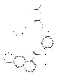 CCc1ccc2c(C(=O)Nc3cccc(OCC(=O)OC(C)C)c3)cccc2c1